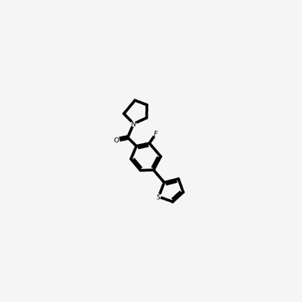 O=C(c1ccc(-c2cccs2)cc1F)N1CCCC1